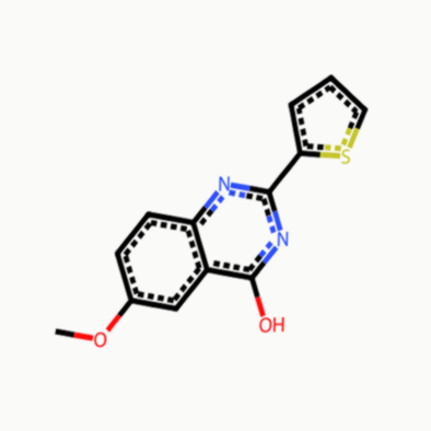 COc1ccc2nc(-c3cccs3)nc(O)c2c1